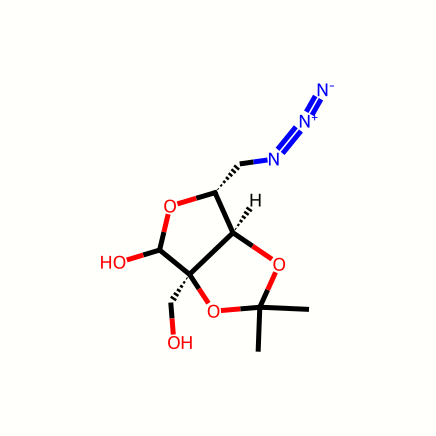 CC1(C)O[C@@H]2[C@@H](CN=[N+]=[N-])OC(O)[C@]2(CO)O1